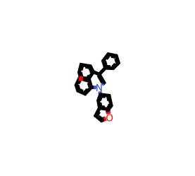 C(=C(c1ccccc1)c1ccccc1)N(c1ccccc1)c1ccc2occc2c1